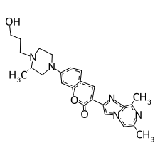 Cc1cn2cc(-c3cc4ccc(N5CCN(CCCO)[C@@H](C)C5)cc4oc3=O)nc2c(C)n1